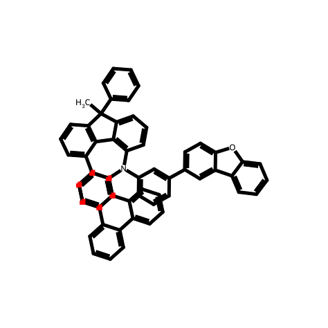 CC1(c2ccccc2)c2cccc3c2-c2c(cccc21)N(c1cccc(-c2ccc4oc5ccccc5c4c2)c1)c1c(-c2ccccc2-c2ccccc2-c2ccccc2)cccc1-3